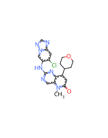 Cn1c(=O)cc(C2CCOCC2)c2nc(Nc3cn4ncnc4cc3Cl)ncc21